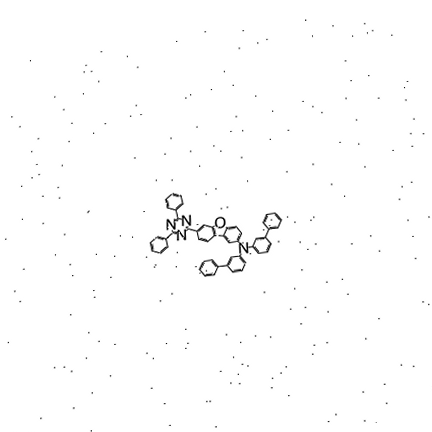 c1ccc(-c2cccc(N(c3cccc(-c4ccccc4)c3)c3ccc4oc5cc(-c6nc(-c7ccccc7)nc(-c7ccccc7)n6)ccc5c4c3)c2)cc1